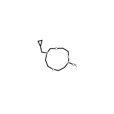 CN1CCCCCN(CC2CC2)CCCCC1